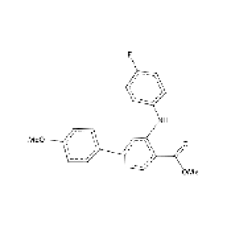 COC(=O)c1ccc(-c2ccc(OC)cc2)cc1Nc1ccc(F)cc1